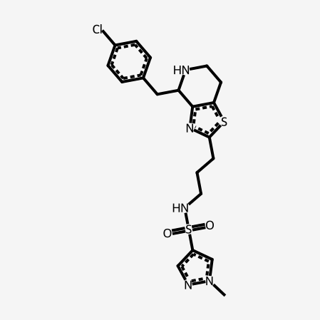 Cn1cc(S(=O)(=O)NCCCc2nc3c(s2)CCNC3Cc2ccc(Cl)cc2)cn1